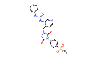 CC1C(=O)N(c2ccc(S(=O)(=O)C(F)(F)F)cc2)C(=O)N1Cc1ccncc1NC(=O)Nc1ccccc1